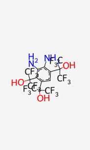 Nc1c(C(O)(C(F)(F)F)C(F)(F)F)cc(C(O)(C(F)(F)F)C(F)(F)F)c(C(O)(C(F)(F)F)C(F)(F)F)c1N